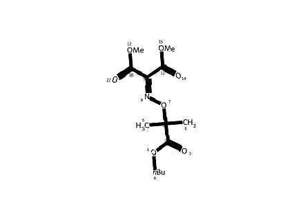 CCCCOC(=O)C(C)(C)ON=C(C(=O)OC)C(=O)OC